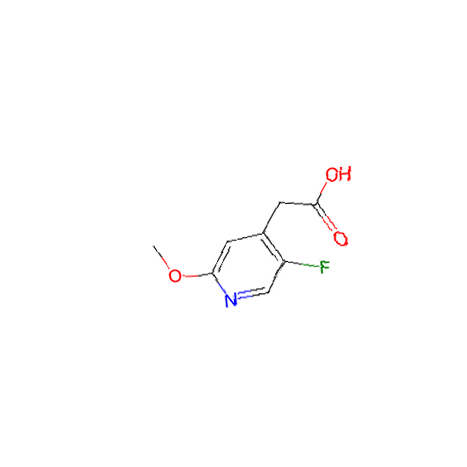 COc1cc(CC(=O)O)c(F)cn1